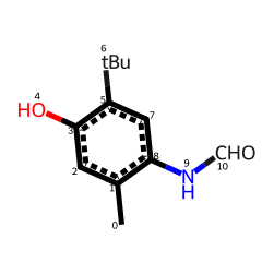 Cc1cc(O)c(C(C)(C)C)cc1NC=O